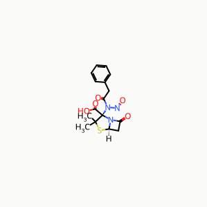 CC1(C)S[C@@H]2CC(=O)N2[C@]1(C(=O)O)N(N=O)C(=O)Cc1ccccc1